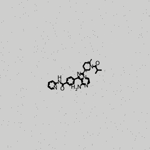 CC(C)C(=O)N1C[C@@H](c2nc(-c3ccc(C(=O)Nc4ccccn4)cc3)c3c(N)nccn23)CC[C@H]1C